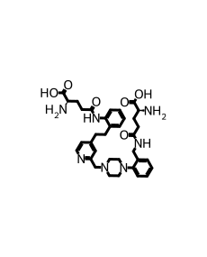 N[C@@H](CCC(=O)NCc1ccccc1N1CCN(Cc2cc(CCc3ccccc3NC(=O)CC[C@H](N)C(=O)O)ccn2)CC1)C(=O)O